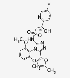 COc1cccc(OC)c1-n1c(NS(=O)(=O)C[C@H](O)c2ccc(F)cn2)nnc1-c1ccc(C)o1